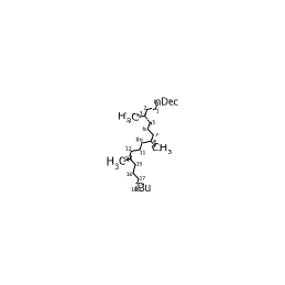 CCCCCCCCCCCCC(C)CCCC(C)CCCC(C)CCCC(C)CC